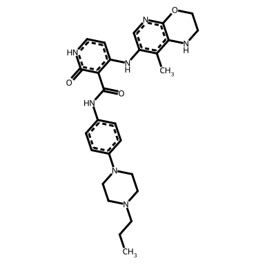 CCCN1CCN(c2ccc(NC(=O)c3c(Nc4cnc5c(c4C)NCCO5)cc[nH]c3=O)cc2)CC1